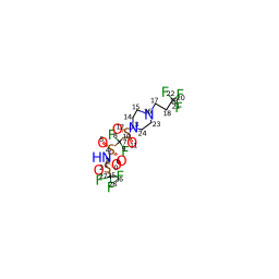 O=S(=O)(NS(=O)(=O)C(F)(F)S(=O)(=O)N1CCN(CCC(F)(F)F)CC1)C(F)(F)F